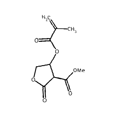 C=C(C)C(=O)OC1COC(=O)C1C(=O)OC